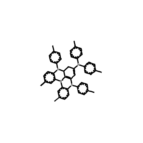 Cc1ccc(N(C2=CC3=C4B(c5cc(C)ccc5N3c3ccc(C)cc3)c3cc(C)ccc3N(c3ccc(C)cc3)C4C2)c2ccc(C)cc2)cc1